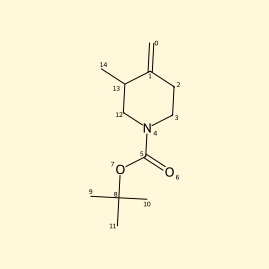 C=C1CCN(C(=O)OC(C)(C)C)CC1C